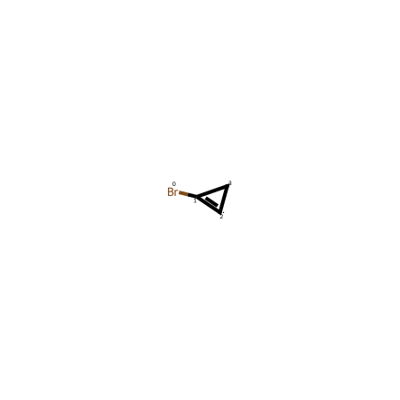 BrC1=[C]C1